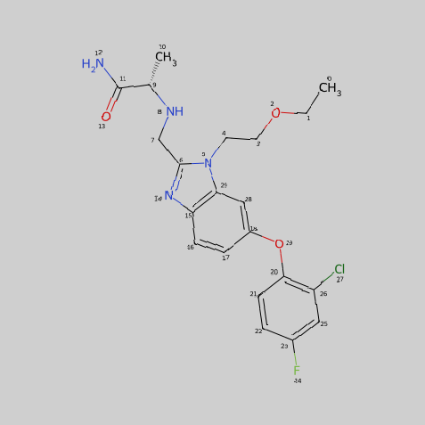 CCOCCn1c(CN[C@@H](C)C(N)=O)nc2ccc(Oc3ccc(F)cc3Cl)cc21